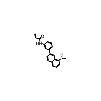 C=CC(=O)Nc1cccc(-c2ccc3cccc(NC)c3c2)c1